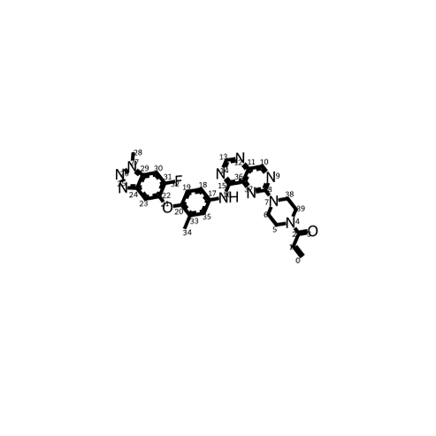 C=CC(=O)N1CCN(c2ncc3ncnc(Nc4ccc(Oc5cc6nnn(C)c6cc5F)c(C)c4)c3n2)CC1